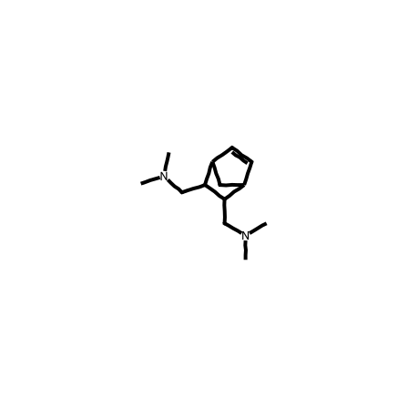 CN(C)CC1C2C=CC(C2)C1CN(C)C